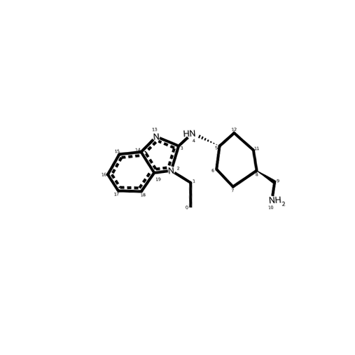 CCn1c(N[C@H]2CC[C@H](CN)CC2)nc2ccccc21